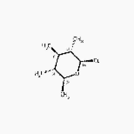 CC[C@H]1O[C@@H](C)[C@H](C)[C@@H](C)[C@@H]1C